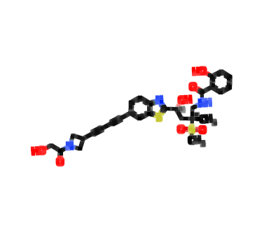 C[C@](CNC(=O)c1ccccc1O)(C[C@@H](O)c1nc2ccc(C#CC#CC3CN(C(=O)CO)C3)cc2s1)S(C)(=O)=O